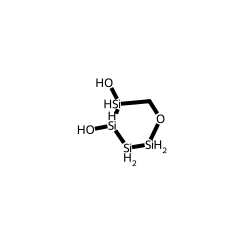 O[SiH]1CO[SiH2][SiH2][SiH]1O